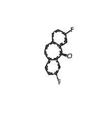 O=c1c2cc(F)ccc2ccc2ccc(F)cc12